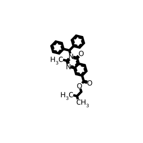 Cc1nc2cc(C(=O)OCC(C)C)ccc2c(=O)n1C(c1ccccc1)c1ccccc1